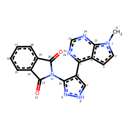 Cn1ccc2c(-c3c[nH]nc3N3C(=O)c4ccccc4C3=O)ncnc21